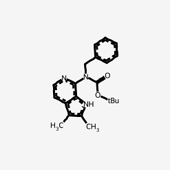 Cc1[nH]c2c(N(Cc3ccccc3)C(=O)OC(C)(C)C)nccc2c1C